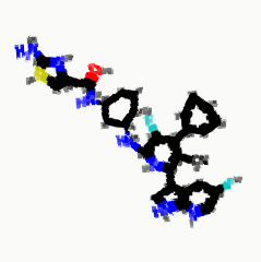 N#Cc1c(-c2c[nH]c3ncc(F)cc23)nc(N[C@H]2CCC[C@@H](NC(=O)c3csc(N)n3)C2)c(F)c1-c1ccccc1